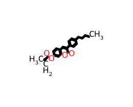 C=C(C)C(=O)Oc1ccc2cc(-c3ccc(CCCCC)cc3)c(=O)oc2c1